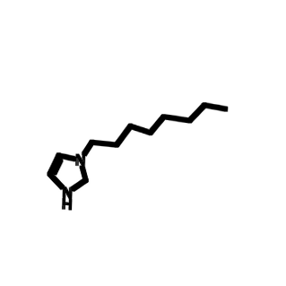 CCCCCCCCN1C=CNC1